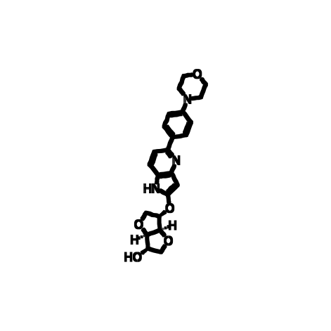 O[C@@H]1CO[C@H]2[C@@H]1OC[C@H]2Oc1cc2nc(-c3ccc(N4CCOCC4)cc3)ccc2[nH]1